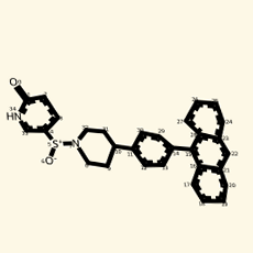 O=c1ccc([S+]([O-])N2CCC(c3ccc(-c4c5ccccc5cc5ccccc45)cc3)CC2)c[nH]1